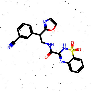 N#Cc1cccc(C(CNC(=O)C2=Nc3ccccc3S(=O)(=O)N2)c2ncco2)c1